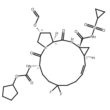 O=CO[C@@H]1C[C@H]2C(=O)N[C@]3(C(=O)NS(=O)(=O)C4CC4)C[C@H]3/C=C\CCC(F)(F)CC[C@H](NC(=O)OC3CCCC3)C(=O)N2C1